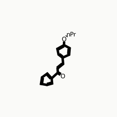 CCCOc1ccc(C=CC(=O)c2ccccc2)cc1